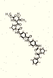 COC(=O)N[C@H](C(=O)N1CCC[C@H]1C(=O)Nc1ccc(C(=O)Nc2ccc(NC(=O)[C@@H]3CCCN3C(=O)Cc3ccccc3)cc2)cc1)C(C)C